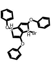 Br[SH]1C(Oc2ccccc2)=CC2=C1C(Oc1ccccc1)=C[SH]2Oc1ccccc1